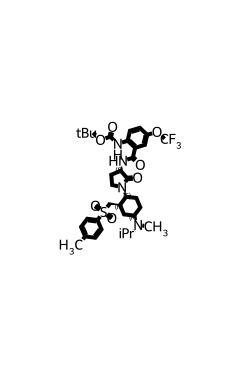 Cc1ccc(S(=O)(=O)C[C@@H]2C[C@H](N(C)C(C)C)CC[C@@H]2N2CC[C@H](NC(=O)c3cc(OC(F)(F)F)ccc3NC(=O)OC(C)(C)C)C2=O)cc1